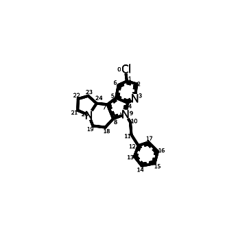 Clc1cnc2c(c1)c1c(n2CCc2ccccc2)CCN2CCCC12